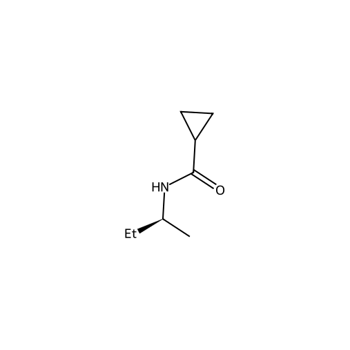 CC[C@H](C)NC(=O)C1CC1